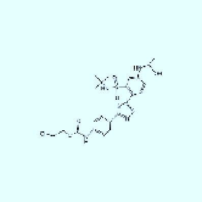 CC(O)Nc1ccc(-c2cnc(-c3ccc(NC(=O)OCCCl)cc3)s2)c(S(=O)(=O)NC(C)(C)C)c1